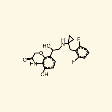 O=C1COc2c(C(O)CNC3(Cc4c(F)cccc4F)CC3)ccc(O)c2N1